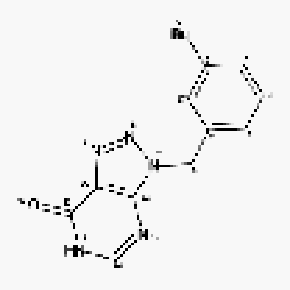 CCC(C)c1cccc(Cn2nnc3c(=O)[nH]cnc32)c1